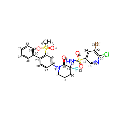 CS(=O)(=O)c1cc(N2CCCC(F)(NS(=O)(=O)c3cnc(Cl)c(Br)c3)C2=O)ccc1-c1ccccc1